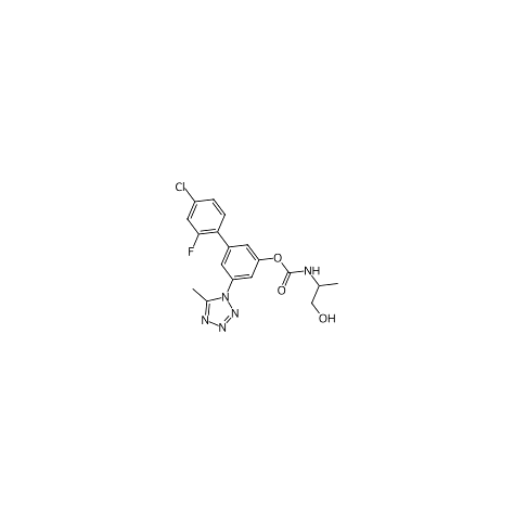 Cc1nnnn1-c1cc(OC(=O)NC(C)CO)cc(-c2ccc(Cl)cc2F)c1